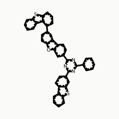 c1ccc(-c2nc(-c3ccc4c(c3)oc3ccc(-c5cccc6sc7ccccc7c56)cc34)nc(-c3ccc4c(c3)sc3ccccc34)n2)cc1